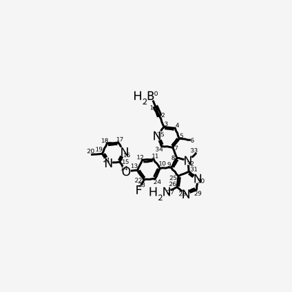 BC#Cc1cc(C)c(-c2c(-c3ccc(Oc4nccc(C)n4)c(F)c3)c3c(N)ncnc3n2C)cn1